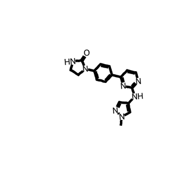 Cn1cc(Nc2nccc(-c3ccc(N4CCNC4=O)cc3)n2)cn1